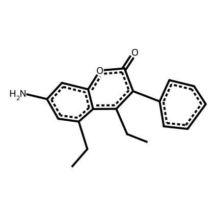 CCc1cc(N)cc2oc(=O)c(-c3ccccc3)c(CC)c12